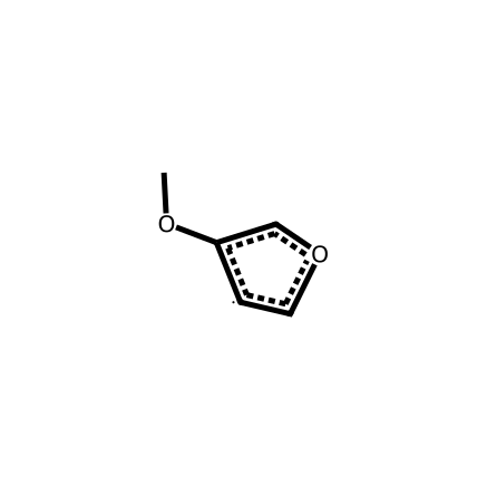 COc1[c]coc1